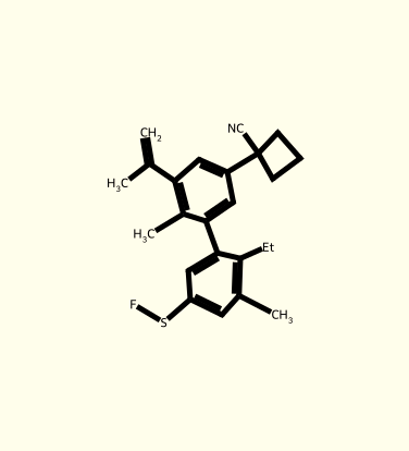 C=C(C)c1cc(C2(C#N)CCC2)cc(-c2cc(SF)cc(C)c2CC)c1C